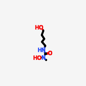 CN(O)C(=O)NCCCCCO